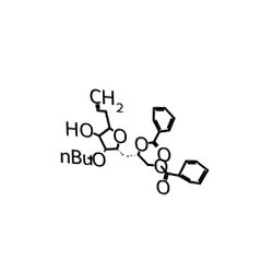 C=CCC1O[C@H](C[C@@H](COC(=O)c2ccccc2)OC(=O)c2ccccc2)[C@H](OCCCC)C1O